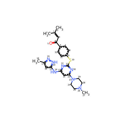 CC(C)=CC(=O)c1ccc(Sc2nc(Nc3cc(C)n[nH]3)cc(N3CCN(C)CC3)n2)cc1